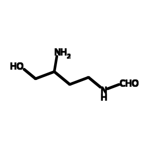 NC(CO)CCNC=O